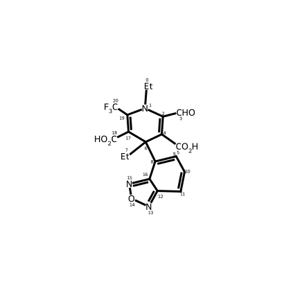 CCN1C(C=O)=C(C(=O)O)C(CC)(c2cccc3nonc23)C(C(=O)O)=C1C(F)(F)F